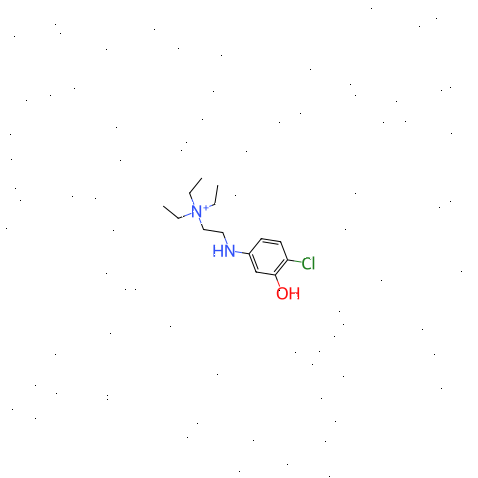 CC[N+](CC)(CC)CCNc1ccc(Cl)c(O)c1